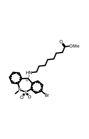 COC(=O)CCCCCCCN[C@H]1c2ccccc2N(C)S(=O)(=O)c2cc(Br)ccc21